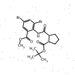 COC(=O)c1cc(Br)cc(Br)c1NC(=O)C1CCCN1C(=O)OC(C)(C)C